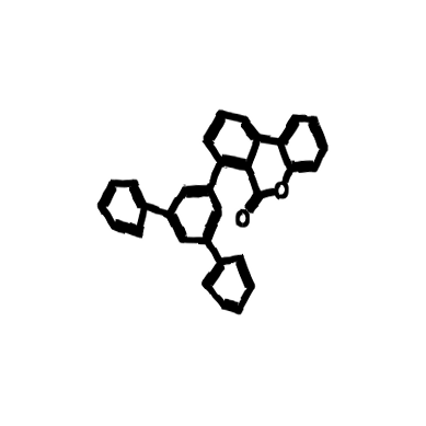 O=c1oc2ccccc2c2cccc(-c3cc(-c4ccccc4)cc(-c4ccccc4)c3)c12